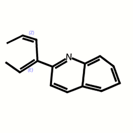 C/C=C\C(=C/C)c1ccc2ccccc2n1